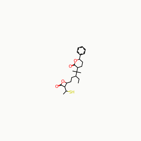 CCC(CCC1OC(=O)C1C(C)S)C(C)(C)C1CCC(c2ccccc2)OC1=O